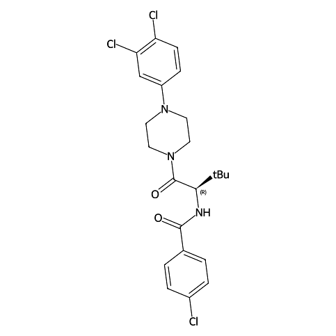 CC(C)(C)[C@@H](NC(=O)c1ccc(Cl)cc1)C(=O)N1CCN(c2ccc(Cl)c(Cl)c2)CC1